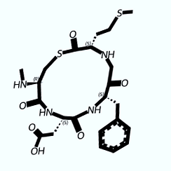 CN[C@H]1CSC(=O)[C@H](CCSC)NCC(=O)[C@H](Cc2ccccc2)NC(=O)[C@H](CC(=O)O)NC1=O